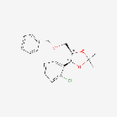 CC1(C)O[C@H](COCc2ccccc2)[C@H](c2ccccc2Cl)O1